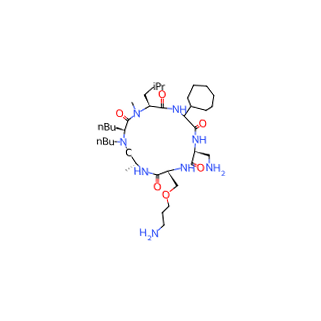 CCCC[C@H]1C(=O)N(C)[C@@H](CC(C)C)C(=O)NC(C2CCCCCC2)C(=O)N[C@@H](CN)C(=O)N[C@@H](COCCCN)C(=O)N[C@H](C)CN1CCCC